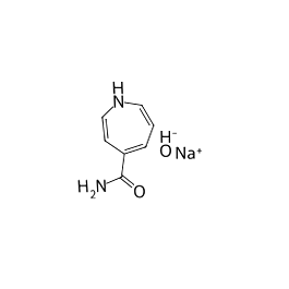 NC(=O)C1=CC=CNC=C1.[Na+].[OH-]